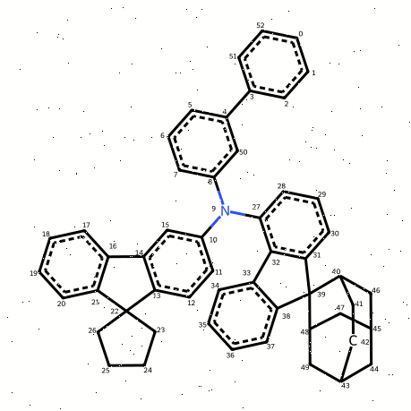 c1ccc(-c2cccc(N(c3ccc4c(c3)-c3ccccc3C43CCCC3)c3cccc4c3-c3ccccc3C43C4CCC5CC(C4)CC3C5)c2)cc1